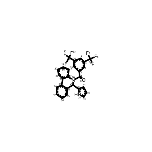 O=C(c1cc(C(F)(F)F)cc(C(F)(F)F)c1)N1c2ccccc2-c2ccccc2C1c1ccc[nH]1